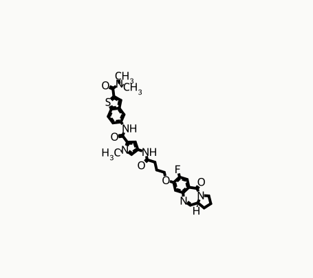 CN(C)C(=O)c1cc2cc(NC(=O)c3cc(NC(=O)CCCOc4cc5c(cc4F)C(=O)N4CCC[C@H]4C=N5)cn3C)ccc2s1